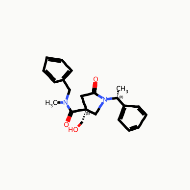 C[C@H](c1ccccc1)N1C[C@@](CO)(C(=O)N(C)Cc2ccccc2)CC1=O